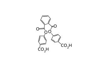 O=C(O)c1ccc(OC(=O)c2ccccc2C(=O)Oc2ccc(C(=O)O)cc2)cc1